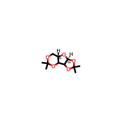 CC1(C)OC[C@@H]2O[C@H]3OC(C)(C)OC3C2O1